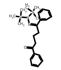 C[Si](C)(C)N(N=C(CCCC(=O)c1ccccc1)c1ccccc1)[Si](C)(C)C